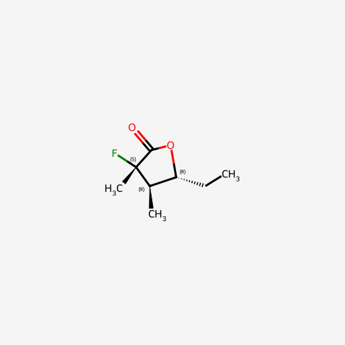 CC[C@H]1OC(=O)[C@@](C)(F)[C@@H]1C